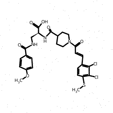 COc1ccc(C(=O)NC[C@H](NC(=O)C2CCN(C(=O)C=Cc3ccc(SC)c(Cl)c3Cl)CC2)C(=O)O)cc1